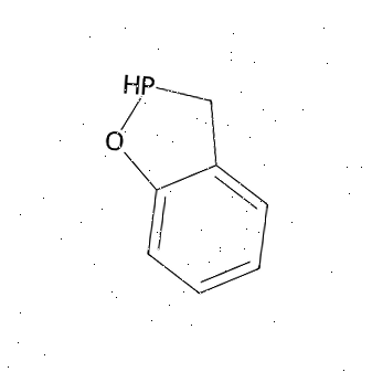 c1ccc2c(c1)CPO2